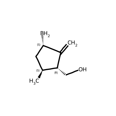 B[C@H]1C[C@H](C)[C@@H](CO)C1=C